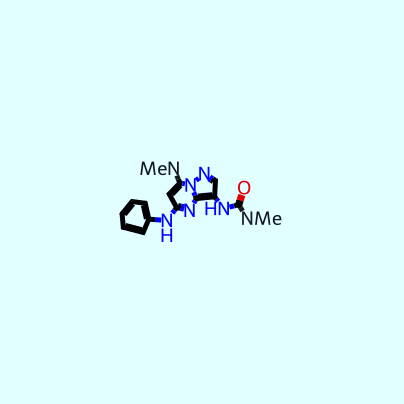 CNC(=O)Nc1cnn2c(NC)cc(Nc3ccccc3)nc12